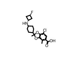 Cc1c(C(=O)O)cc(Cl)c2c1OC(C)(C1CCC(N[C@H]3C[C@H](F)C3)CC1)O2